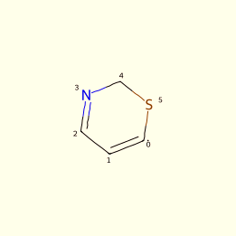 [C]1=CC=NCS1